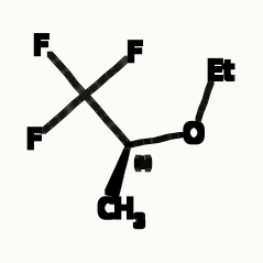 CCO[C@@H](C)C(F)(F)F